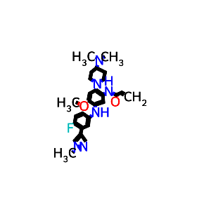 C=CC(=O)Nc1cc(Nc2ccc(F)c(-c3cnn(C)c3)c2)c(OC)cc1N1CCC(N(C)C)CC1